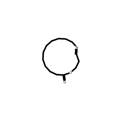 O=C1CCCCCCCCCC/N=C/CCO1